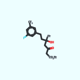 CCOC(=O)CC(=O)CC(O)(CCc1cc(F)cc(C(F)(F)F)c1)C(C)C